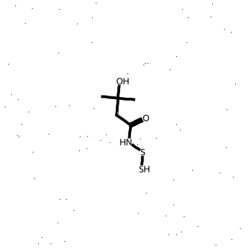 CC(C)(O)CC(=O)NSS